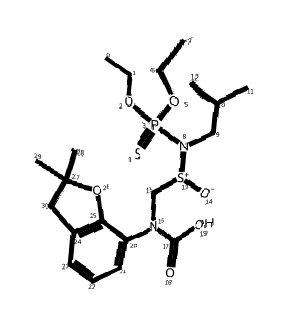 CCOP(=S)(OCC)N(CC(C)C)[S+]([O-])CN(C(=O)O)c1cccc2c1OC(C)(C)C2